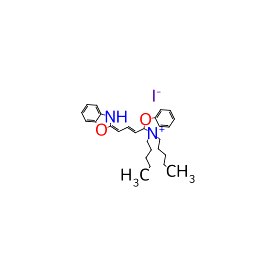 CCCCC[N+]1(CCCCC)c2ccccc2OC1C=CC=C1Nc2ccccc2O1.[I-]